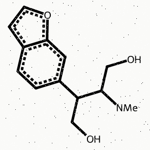 CNC(CO)C(CO)c1ccc2ccoc2c1